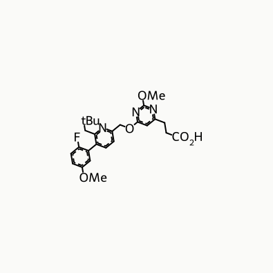 COc1ccc(F)c(-c2ccc(COc3cc(CCC(=O)O)nc(OC)n3)nc2CC(C)(C)C)c1